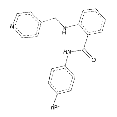 CCCc1ccc(NC(=O)c2ccccc2NCc2ccncc2)cc1